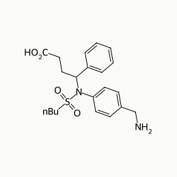 CCCCS(=O)(=O)N(c1ccc(CN)cc1)C(CCC(=O)O)c1ccccc1